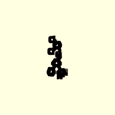 Clc1ccc(COCc2ccc(-c3ccccc3)c(-c3cncnc3)c2)c(Cl)c1